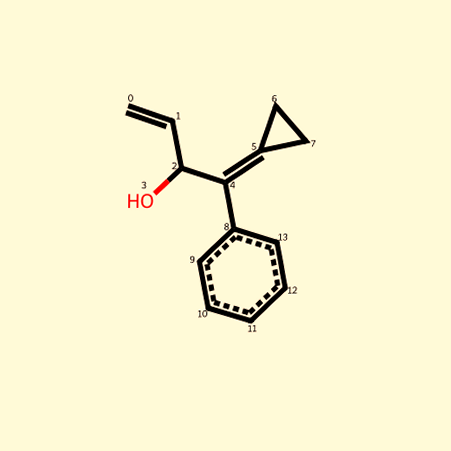 C=CC(O)C(=C1CC1)c1ccccc1